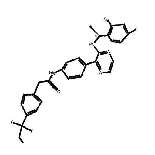 CCC(F)(F)c1ccc(CC(=O)Nc2ccc(-c3nccnc3N[C@@H](C)c3ccc(F)cc3Cl)cc2)cc1